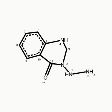 NNN1CNc2ccccc2C1=O